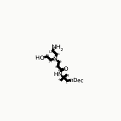 CCCCCCCCCCCC(C)(C)NC(=O)CCN(CCN)CCO